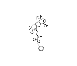 COC(=O)c1cc2c(cc1C(F)(F)F)CC(C)(C)C(=O)N2CCNC(=O)OCc1ccccc1